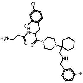 NCCC(=O)NC(Cc1ccc(Cl)cc1Cl)C(=O)N1CCN(C2(CNCc3cccc(F)c3)CCCCC2)CC1